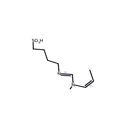 C/C=C\N(C)/C=N/CCCCS(=O)(=O)O